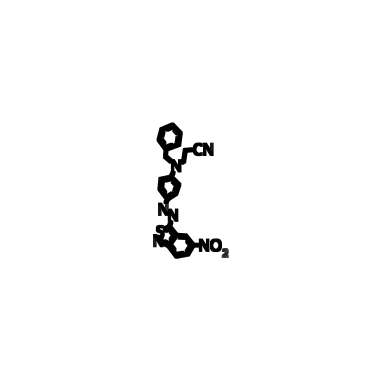 N#CCCN(Cc1ccccc1)c1ccc(N=Nc2snc3ccc([N+](=O)[O-])cc23)cc1